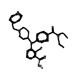 CCN(CC)C(=O)c1ccc(N(c2cccc(C(N)=O)c2F)C2CCN(Cc3ccncc3)CC2)cc1